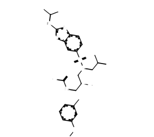 COc1cccc(C[C@H](NC(=O)O)[C@H](O)CN(CC(C)C)S(=O)(=O)c2ccc3nc(NC(C)C)sc3c2)c1